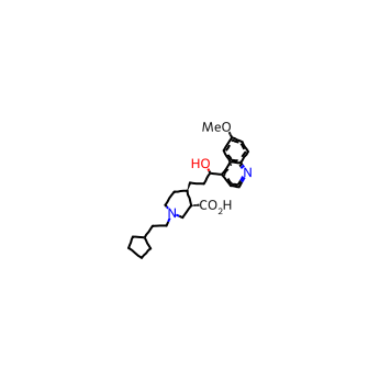 COc1ccc2nccc(C(O)CC[C@@H]3CCN(CCC4CCCC4)C[C@@H]3C(=O)O)c2c1